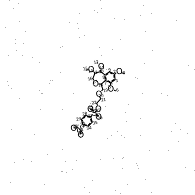 COc1cc(OC)c2c(c1)C(OC)C(OC)COC2COCCOS(=O)(=O)c1ccc([N+](=O)[O-])cc1